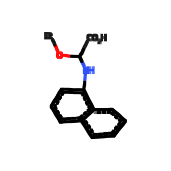 CCOC(Nc1cccc2ccccc12)C(=O)O